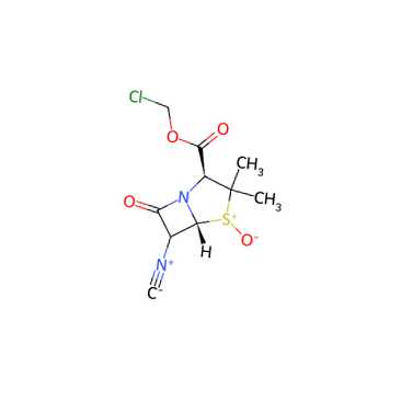 [C-]#[N+]C1C(=O)N2[C@@H]1[S+]([O-])C(C)(C)[C@@H]2C(=O)OCCl